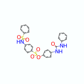 O=C(Nc1ccccc1)Nc1ccc(OS(=O)(=O)c2ccc(NS(=O)(=O)c3ccccc3)cc2)cc1